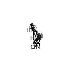 C[C@@H](OC(=O)Nc1c(-c2ccc(NC(=O)OC(C)(C)C)cn2)nnn1C)c1cccnc1Cl